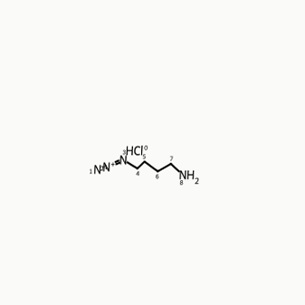 Cl.[N-]=[N+]=NCCCCN